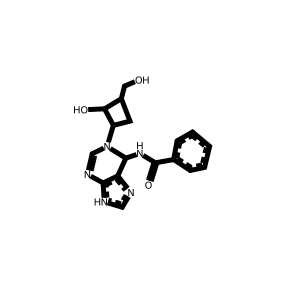 O=C(NC1c2nc[nH]c2N=CN1C1CC(CO)C1O)c1ccccc1